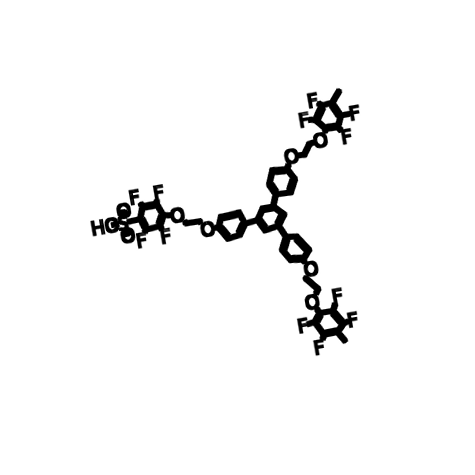 Cc1c(F)c(F)c(OCCOc2ccc(-c3cc(-c4ccc(OCCOc5c(F)c(F)c(C)c(F)c5F)cc4)cc(-c4ccc(OCCOc5c(F)c(F)c(S(=O)(=O)O)c(F)c5F)cc4)c3)cc2)c(F)c1F